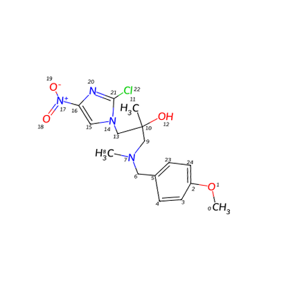 COc1ccc(CN(C)CC(C)(O)Cn2cc([N+](=O)[O-])nc2Cl)cc1